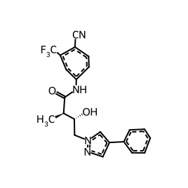 C[C@@H](C(=O)Nc1ccc(C#N)c(C(F)(F)F)c1)[C@H](O)Cn1cc(-c2ccccc2)cn1